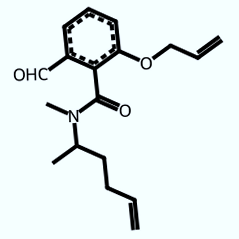 C=CCCC(C)N(C)C(=O)c1c(C=O)cccc1OCC=C